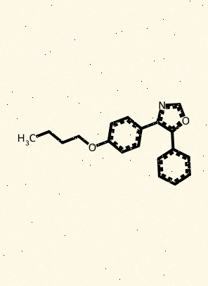 CCCCOc1ccc(-c2ncoc2-c2ccccc2)cc1